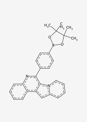 CC1(C)OB(c2ccc(-c3nc4ccccc4c4cc5ccccn5c34)cc2)OC1(C)C